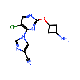 N#Cc1cn(-c2nc(OC3CC(N)C3)ncc2Cl)cn1